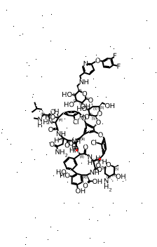 CN[C@H](CC(C)C)C(=O)NC1C(=O)N[C@@H](CC(N)=O)C(=O)N[C@H]2C(=O)N[C@H]3C(=O)N[C@H](C(=O)N[C@@H](C(=O)O)c4cc(O)cc(O)c4-c4cc3ccc4O)[C@H](O[C@H]3C[C@](C)(N)[C@@H](O)[C@H](C)O3)c3ccc(c(Cl)c3)Oc3cc2cc(c3O[C@@H]2O[C@H](CO)[C@@H](O[C@@H]3O[C@H](CNCc4ccc(Oc5ccc(F)c(F)c5)nc4)[C@H](O)[C@H](O)[C@H]3O)[C@H](O)[C@H]2O)Oc2ccc(cc2Cl)[C@H]1O